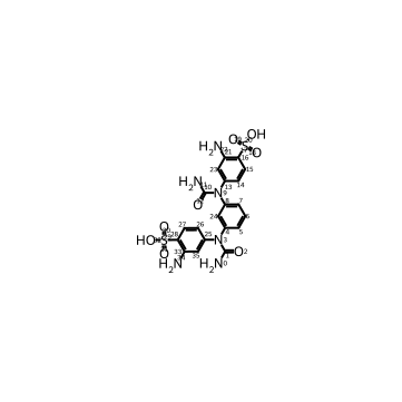 NC(=O)N(c1cccc(N(C(N)=O)c2ccc(S(=O)(=O)O)c(N)c2)c1)c1ccc(S(=O)(=O)O)c(N)c1